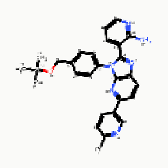 CC(C)c1ccc(-c2ccc3nc(-c4cccnc4N)n(-c4ccc(CO[Si](C)(C)C(C)(C)C)cc4)c3n2)cn1